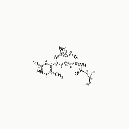 Cc1c[nH]c(=O)cc1-c1cc2cc(NC(=O)[C@H]3C[C@H]3F)ncc2c(N)n1